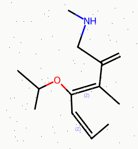 C=C(CNC)/C(C)=C(/C=C\C)OC(C)C